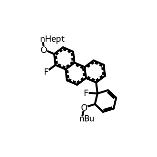 CCCCCCCOc1ccc2c(ccc3c(C4(F)C=CC=CC4OCCCC)cccc32)c1F